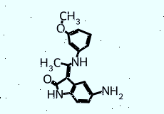 COc1cccc(NC(C)=C2C(=O)Nc3ccc(N)cc32)c1